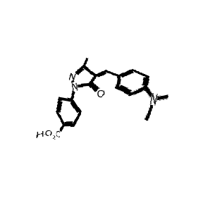 CC1=NN(c2ccc(C(=O)O)cc2)C(=O)C1=Cc1ccc(N(C)C)cc1